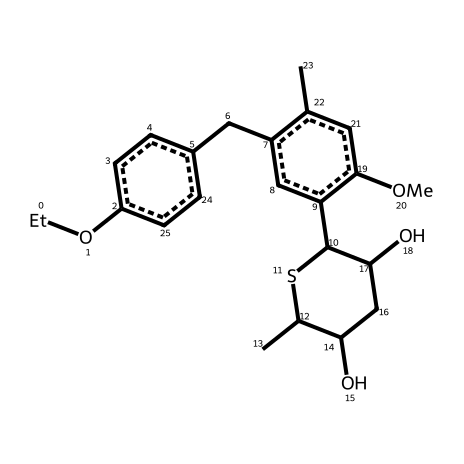 CCOc1ccc(Cc2cc(C3SC(C)C(O)CC3O)c(OC)cc2C)cc1